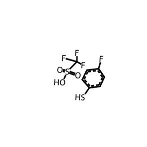 Fc1ccc(S)cc1.O=S(=O)(O)C(F)(F)F